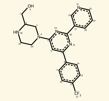 OCC1CN(c2cc(-c3ccc(C(F)(F)F)cc3)nc(-c3cccnc3)n2)CCN1